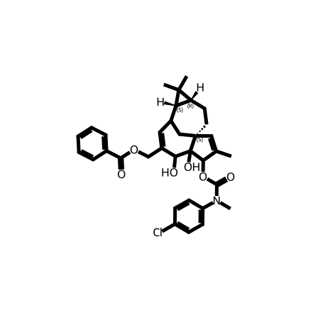 CC1=C[C@@]23CC[C@@H]4[C@H](C(C=C(COC(=O)c5ccccc5)C(O)C2(O)C1OC(=O)N(C)c1ccc(Cl)cc1)C3)C4(C)C